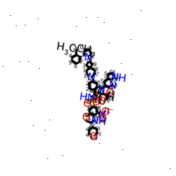 C=C(C)c1ccccc1[C@@H]1CCCN1C1CC2(CCN(c3ccc(C(=O)NS(=O)(=O)c4cc5c(c([N+](=O)[O-])c4)N[C@H](C4CCOCC4)CO5)c(N4c5cc6cc[nH]c6nc5O[C@H]5COC[C@H]54)c3)CC2)C1